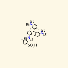 CCN(CC)c1ccc(C)c(C(c2cc(N(CC)CC)ccc2C)c2cc(N(CC)CC)ccc2C)c1.Cc1ccc(S(=O)(=O)O)cc1